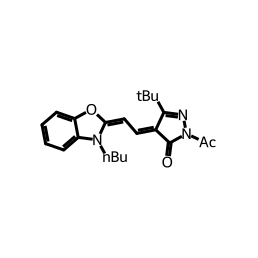 CCCCN1/C(=C\C=C2\C(=O)N(C(C)=O)N=C2C(C)(C)C)Oc2ccccc21